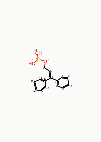 OP(O)OCC=C(c1ccccc1)c1ccccc1